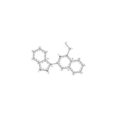 COc1nc(-n2nnc3ccccc32)cc2ccccc12